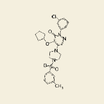 Cc1cccc(S(=O)(=O)N2CCN(c3cnn(-c4cccc(Cl)c4)c(=O)c3OC3CCCC3)CC2)c1